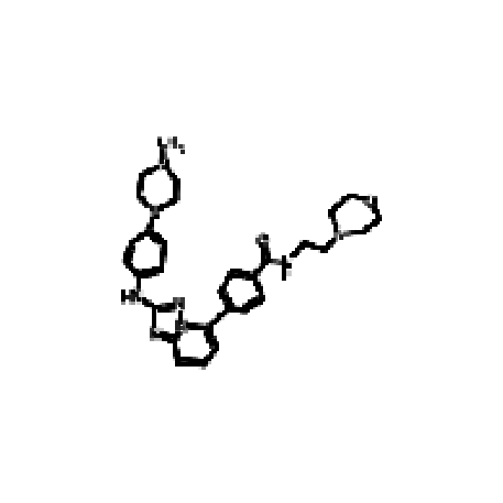 CN1CCN(c2ccc(Nc3nc4cccc(-c5ccc(C(=O)NCCN6CCOCC6)cc5)n4n3)cc2)CC1